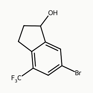 OC1CCc2c1cc(Br)cc2C(F)(F)F